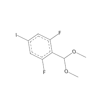 COC(OC)c1c(F)cc(I)cc1F